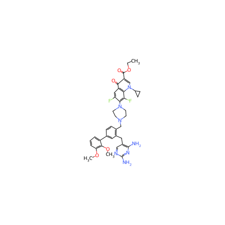 CCOC(=O)c1cn(C2CC2)c2c(F)c(N3CCN(Cc4ccc(-c5cccc(OC)c5OC)cc4Cc4cnc(N)nc4N)CC3)c(F)cc2c1=O